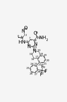 C[C@@H](CN=O)Nc1cc(C(N)=O)nc(N2CCc3c(cccc3-c3ccccc3C(F)(F)F)C2)n1